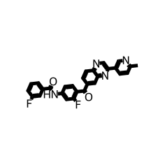 Cc1ccc(-c2cnc3ccc(C(=O)c4ccc(NC(=O)c5cccc(F)c5)cc4F)cc3n2)cn1